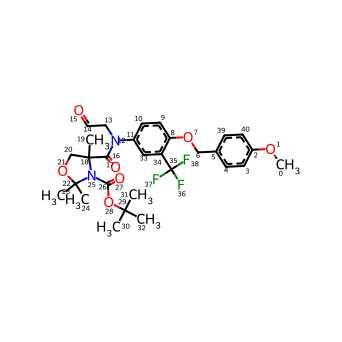 COc1ccc(COc2ccc(N(CC=O)C(=O)C3(C)COC(C)(C)N3C(=O)OC(C)(C)C)cc2C(F)(F)F)cc1